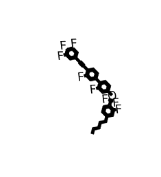 CCCCCc1ccc(C(F)(F)Oc2ccc(-c3ccc(C#Cc4cc(F)c(F)c(F)c4)c(F)c3)c(F)c2)c(F)c1